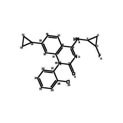 O=c1nc(NC2CC2F)c2ccc(C3CC3)cc2n1-c1ccccc1Cl